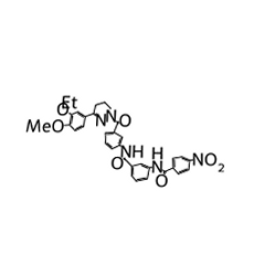 CCOc1cc(C2=NN(C(=O)c3cccc(NC(=O)c4cccc(NC(=O)c5ccc([N+](=O)[O-])cc5)c4)c3)CCC2)ccc1OC